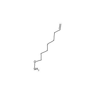 C=CCCCCCCO[SiH3]